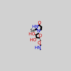 CNCOC[C@H]1O[C@@H](n2ccc(=O)[nH]c2=[Se])[C@H](O)[C@@H]1O